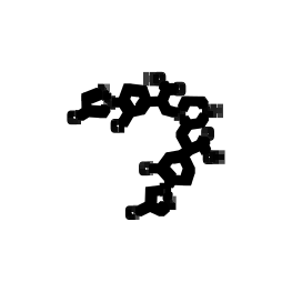 O=C(O)C(CC1CNCCN1CC(C(=O)O)c1ccc(-n2cc(Cl)cn2)c(Cl)c1)c1ccc(-n2cc(Cl)cn2)c(Cl)c1